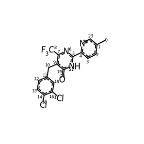 Cc1ccc(-c2nc(C(F)(F)F)c(Cc3ccc(Cl)c(Cl)c3)c(=O)[nH]2)nc1